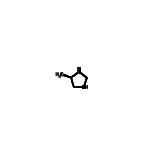 C[C@@H]1CNCN1